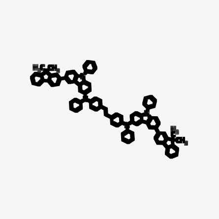 CC1(C)c2ccccc2-c2ccc(-c3ccc4c(c3)c3cc(N(c5ccccc5)c5ccc(/C=C/c6ccc(N(c7ccccc7)c7ccc8c(c7)c7cc(-c9ccc%10c(c9)C(C)(C)c9ccccc9-%10)ccc7n8-c7ccccc7)cc6)cc5)ccc3n4-c3ccccc3)cc21